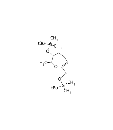 C[C@@H]1OC(CO[Si](C)(C)C(C)(C)C)=CCC[C@H]1O[Si](C)(C)C(C)(C)C